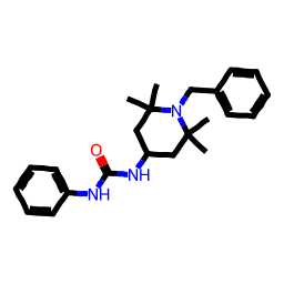 CC1(C)CC(NC(=O)Nc2ccccc2)CC(C)(C)N1Cc1ccccc1